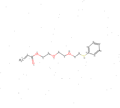 C=CC(=O)OCCOCCOCCSc1ccccc1